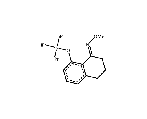 CO/N=C1\CCCc2cccc(O[Si](C(C)C)(C(C)C)C(C)C)c21